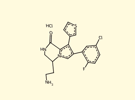 Cl.NCCC1CNC(=O)c2c(-c3ccsc3)c(-c3cc(Cl)ccc3F)cn21